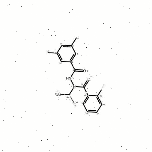 CCC[C@@H](N(NC(=O)c1cc(C)cc(C)c1)C(=O)c1ccccc1F)C(C)(C)C